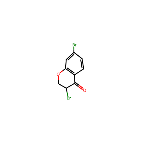 O=C1c2ccc(Br)cc2OCC1Br